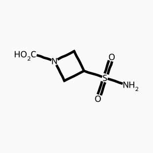 NS(=O)(=O)C1CN(C(=O)O)C1